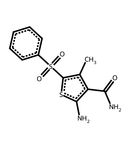 Cc1c(S(=O)(=O)c2ccccc2)sc(N)c1C(N)=O